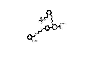 COc1ccccc1COCCCOc1ccc(C2CCN(C(=O)OC(C)(C)C)CC2OCCOc2ccccc2CCNS(C)(=O)=O)cc1